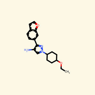 CCOC1CCC(n2cc(N)c(-c3ccc4ccoc4c3)n2)CC1